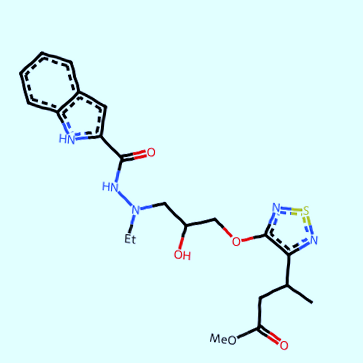 CCN(CC(O)COc1nsnc1C(C)CC(=O)OC)NC(=O)c1cc2ccccc2[nH]1